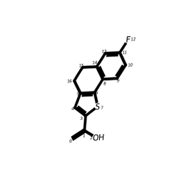 C=C(O)c1cc2c(s1)-c1ccc(F)cc1CC2